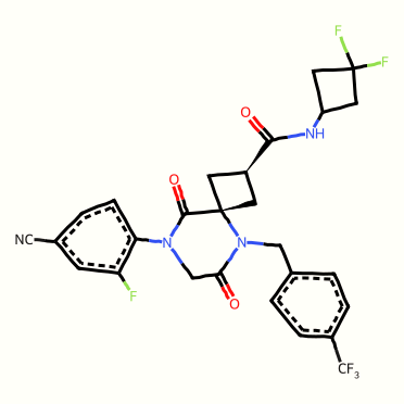 N#Cc1ccc(N2CC(=O)N(Cc3ccc(C(F)(F)F)cc3)[C@]3(C[C@H](C(=O)NC4CC(F)(F)C4)C3)C2=O)c(F)c1